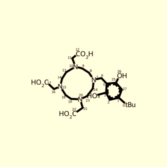 CC(C)(C)c1cc(O)c(CN2CCN(CC(=O)O)CCN(CC(=O)O)CCN(CC(=O)O)CC2)c(O)c1